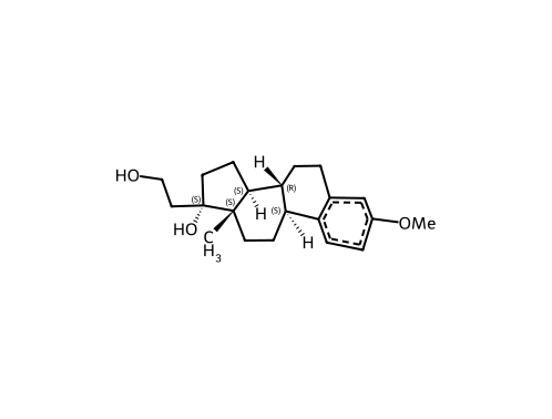 COc1ccc2c(c1)CC[C@@H]1[C@@H]2CC[C@@]2(C)[C@H]1CC[C@]2(O)CCO